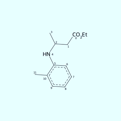 CCOC(=O)CC(C)Nc1ccccc1C